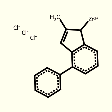 CC1=Cc2c(-c3ccccc3)cccc2[CH]1[Zr+3].[Cl-].[Cl-].[Cl-]